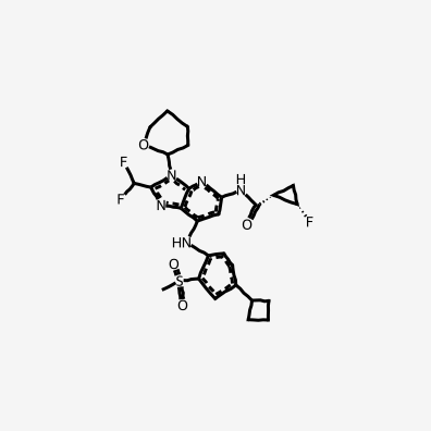 CS(=O)(=O)c1cc(C2CCC2)ccc1Nc1cc(NC(=O)[C@@H]2C[C@@H]2F)nc2c1nc(C(F)F)n2C1CCCCO1